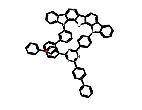 c1ccc(-c2ccc(-c3nc(-c4ccc(-c5ccccc5)cc4)nc(-c4ccc(-n5c6ccccc6c6ccc7c8ccc9c%10ccccc%10n(-c%10cccc(-c%11ccccc%11)c%10)c9c8oc7c65)cc4)n3)cc2)cc1